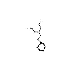 OCCC(CCO)CCc1ccccc1